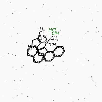 CC1=[C]([Zr]([CH3])([CH3])([SiH3])[C]2=C(C)Cc3ccc4ccccc4c32)c2c(ccc3ccccc23)C1.Cl.Cl